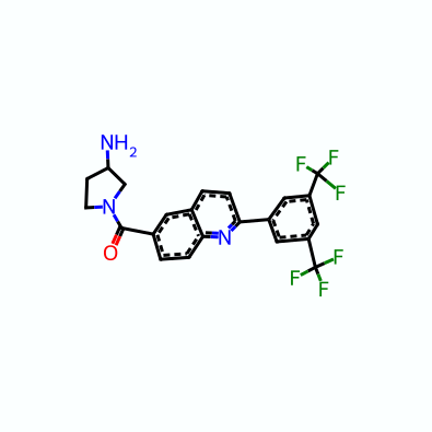 NC1CCN(C(=O)c2ccc3nc(-c4cc(C(F)(F)F)cc(C(F)(F)F)c4)ccc3c2)C1